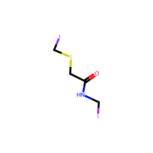 O=C(CSCI)NCI